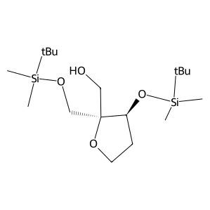 CC(C)(C)[Si](C)(C)OC[C@@]1(CO)OCC[C@@H]1O[Si](C)(C)C(C)(C)C